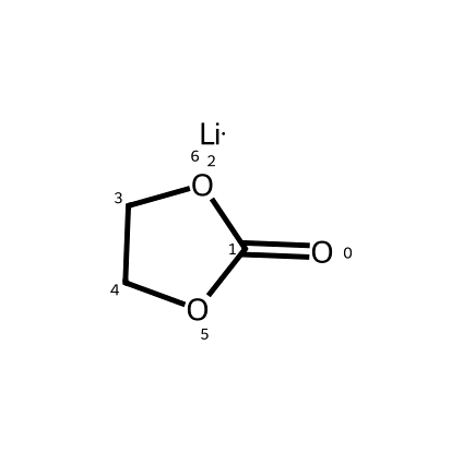 O=C1OCCO1.[Li]